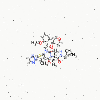 COc1ccccc1[C@H](Cn1c(=O)n(C(C)(C)C(=O)NCC(C)C)c(=O)c2c(C)c(-n3nccn3)sc21)OC1CCOCC1